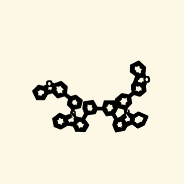 C1=Cc2c(n(-c3cccc(-c4ccc5oc6ccccc6c5c4)c3)c3c(-c4cccc(-c5cccc(-c6cccc7c8ccccc8n(-c8cccc(-c9ccc%10oc%11ccccc%11c%10c9)c8)c67)c5)c4)cccc23)CC1